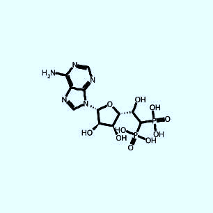 Nc1ncnc2c1ncn2[C@@H]1O[C@H](C(O)C(P(=O)(O)O)P(=O)(O)O)[C@@H](O)[C@H]1O